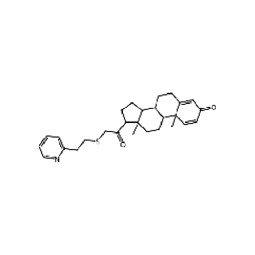 CC12C=CC(=O)C=C1CCC1C2CCC2(C)C(C(=O)CSCCc3ccccn3)CCC12